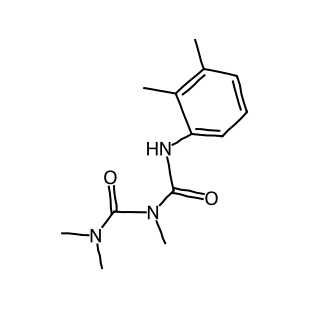 Cc1cccc(NC(=O)N(C)C(=O)N(C)C)c1C